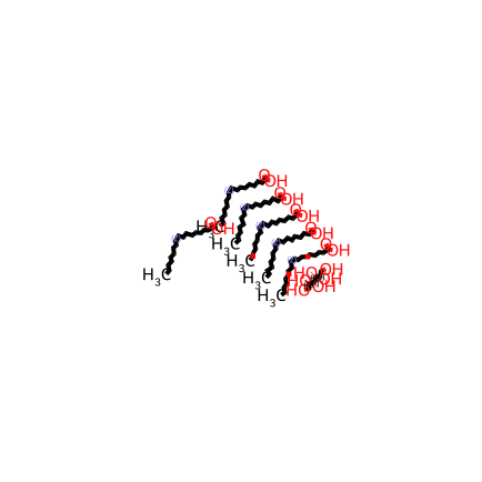 CCCCCCCC/C=C\CCCCCCCC(=O)O.CCCCCCCC/C=C\CCCCCCCC(=O)O.CCCCCCCC/C=C\CCCCCCCC(=O)O.CCCCCCCC/C=C\CCCCCCCC(=O)O.CCCCCCCC/C=C\CCCCCCCC(=O)O.CCCCCCCC/C=C\CCCCCCCC(=O)O.OC[C@@H](O)[C@@H](O)[C@H](O)[C@@H](O)CO